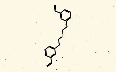 C=Cc1cccc(CCOCCc2cccc(C=C)c2)c1